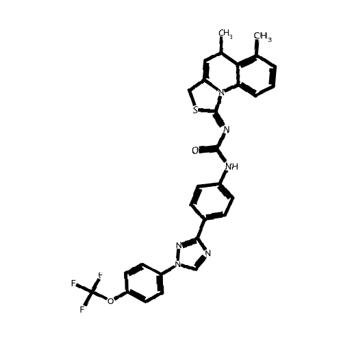 Cc1cccc2c1C(C)C=C1CS/C(=N\C(=O)Nc3ccc(-c4ncn(-c5ccc(OC(F)(F)F)cc5)n4)cc3)N12